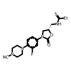 CCC(=S)NC[C@H]1CN(c2ccc(N3CCN(C#N)CC3)c(F)c2)C(=O)O1